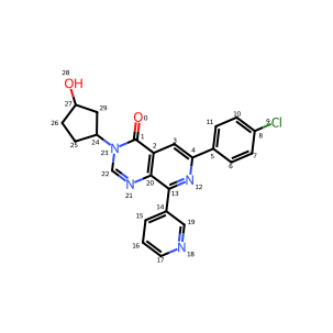 O=c1c2cc(-c3ccc(Cl)cc3)nc(-c3cccnc3)c2ncn1C1CCC(O)C1